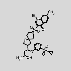 CCn1cc(S(=O)(=O)N2CCC3(CC2)C[C@@H](N(CC(C)O)Oc2cccc(S(=O)(=O)C4CC4)c2)CO3)c(=O)c2ccc(C)cc21